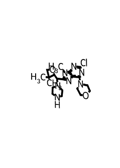 Cn1c(C(C2OCC2(C)C)N2CCNCC2)nc2c(N3CCOCC3)nc(Cl)nc21